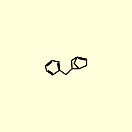 C1=C2CC(C1)C(Cc1ccccc1)C2